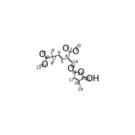 COC(=O)C(/C=C/C(C)(C)C(=O)OC)=C/OC1C=C(C)C(O)O1